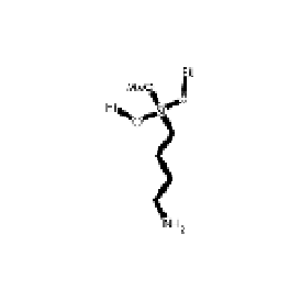 CCO[Si](CCCCN)(OC)OCC